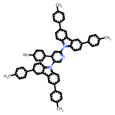 Cc1ccc(-c2ccc3c(c2)c2cc(-c4ccc(C)cc4)ccc2n3-c2cc(-c3ccc(C#N)cc3)c(-n3c4ccc(-c5ccc(C)cc5)cc4c4cc(-c5ccc(C)cc5)ccc43)cn2)cc1